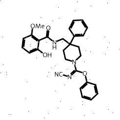 COc1cccc(O)c1C(=O)NCC1(c2ccccc2)CCN(/C(=N\C#N)Oc2ccccc2)CC1